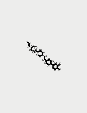 C/C=C/[C@H]1CO[C@H]([C@H]2CC[C@H](CCc3ccc(-c4ccc(F)c(F)c4)cc3)CC2)OC1